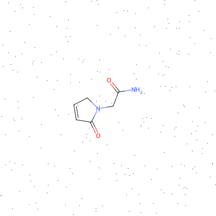 NC(=O)CN1CC=CC1=O